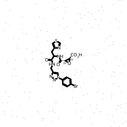 O=C(NCc1cn(-c2ccc(Br)cc2)nn1)C(Cc1cscn1)NC(=O)[C@H]1O[C@@H]1C(=O)O